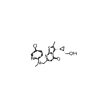 Cc1sc2nc(CN(C)c3ccc(Cl)cn3)cc(=O)n2c1[C@@H]1C[C@@H]1CO